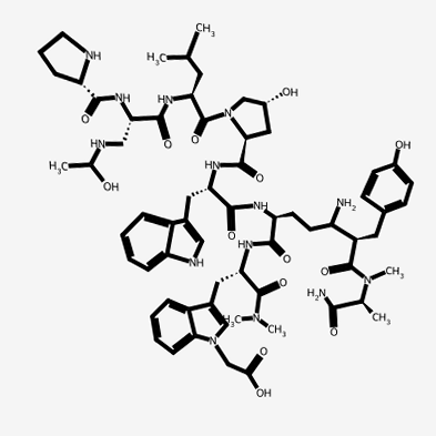 CC(C)C[C@H](NC(=O)[C@H](CNC(C)O)NC(=O)[C@@H]1CCCN1)C(=O)N1C[C@H](O)C[C@H]1C(=O)N[C@@H](Cc1c[nH]c2ccccc12)C(=O)N[C@@H](CCC(N)[C@@H](Cc1ccc(O)cc1)C(=O)N(C)[C@@H](C)C(N)=O)C(=O)N[C@@H](Cc1cn(CC(=O)O)c2ccccc12)C(=O)N(C)C